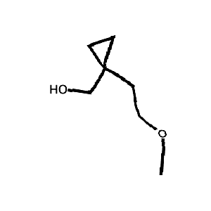 COCCC1(CO)CC1